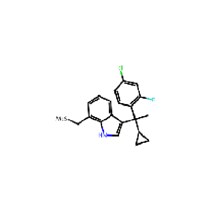 CSCc1cccc2c(C(C)(c3ccc(Cl)cc3F)C3CC3)c[nH]c12